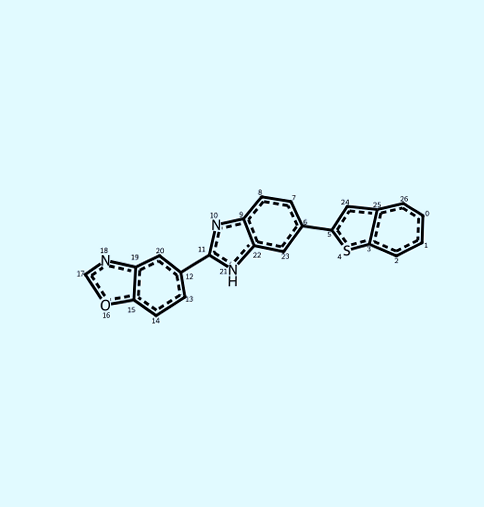 c1ccc2sc(-c3ccc4nc(-c5ccc6ocnc6c5)[nH]c4c3)cc2c1